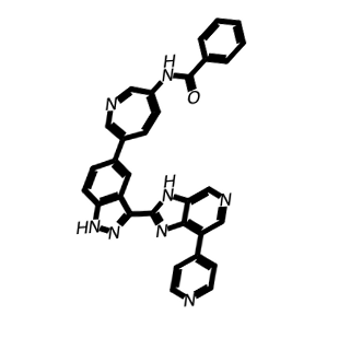 O=C(NC1=C=CC(c2ccc3[nH]nc(-c4nc5c(-c6ccncc6)cncc5[nH]4)c3c2)=CN=C1)c1ccccc1